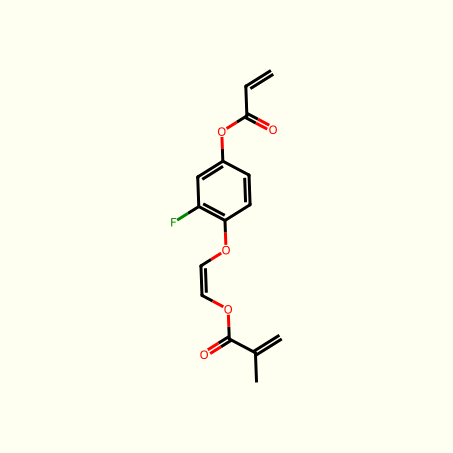 C=CC(=O)Oc1ccc(O/C=C\OC(=O)C(=C)C)c(F)c1